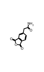 NC(=O)Cc1ccc2c(c1)C(=O)OC2=O